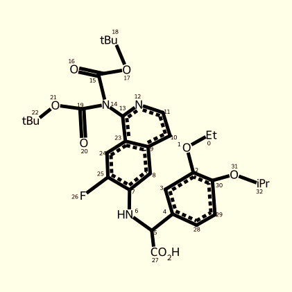 CCOc1cc(C(Nc2cc3ccnc(N(C(=O)OC(C)(C)C)C(=O)OC(C)(C)C)c3cc2F)C(=O)O)ccc1OC(C)C